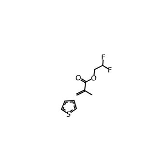 C=C(C)C(=O)OCC(F)F.c1ccsc1